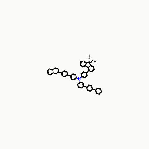 CC1(C)c2ccccc2-c2c(-c3ccc(N(c4ccc(-c5ccc(-c6ccc7ccccc7c6)cc5)cc4)c4cccc(-c5ccc(-c6ccccc6)cc5)c4)cc3)cccc21